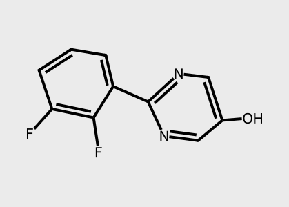 Oc1cnc(-c2cccc(F)c2F)nc1